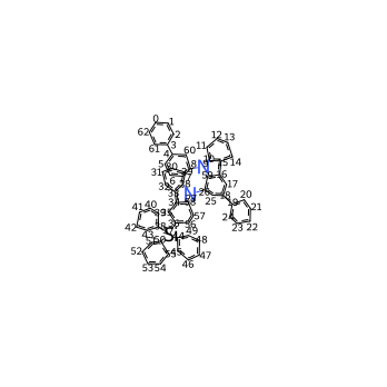 c1ccc(-c2cccc(-n3c4ccccc4c4cc(-c5ccccc5)cc(-n5c6ccccc6c6cc([Si](c7ccccc7)(c7ccccc7)c7ccccc7)ccc65)c43)c2)cc1